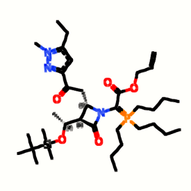 C=CCOC(=O)C(N1C(=O)[C@@H]([C@@H](C)O[Si](C)(C)C(C)(C)C)[C@@H]1CC(=O)c1cc(CC)n(C)n1)=P(CCCC)(CCCC)CCCC